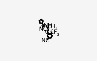 CC(C#N)(COc1cc(C#N)ccc1C(F)(F)F)NC(=O)C1C=CC=C1